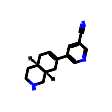 N#Cc1cncc(C2=CC[C@@H]3CCNC[C@@H]3C2)c1